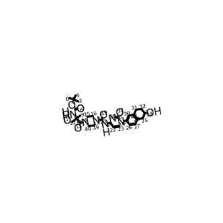 CC(C)(C)OC(=O)NC(C)(CO)C(=O)N1CCN(C(=O)Nc2ccn(-c3ccc4c(c3)CCC(O)C4)c(=O)n2)CC1